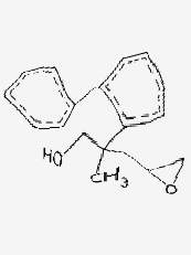 CC(CO)(c1ccccc1-c1ccccc1)C1CO1